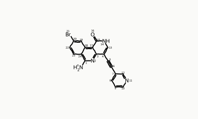 Nc1nc2c(C#Cc3cccnc3)c[nH]c(=O)c2c2cc(Br)ccc12